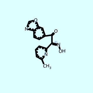 Cc1cccc(/C(=N\O)C(=O)c2ccc3ncoc3c2)n1